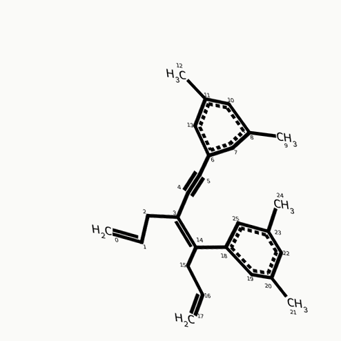 C=CCC(C#Cc1cc(C)cc(C)c1)=C(CC=C)c1cc(C)cc(C)c1